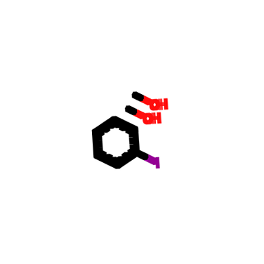 CO.CO.Ic1ccccc1